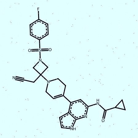 N#CCC1(N2CC=C(c3cc(NC(=O)C4CC4)nc4[nH]ccc34)CC2)CN(S(=O)(=O)c2ccc(F)cc2)C1